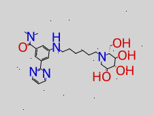 CN(C)C(=O)c1cc(NCCCCCCN2C[C@H](O)[C@@H](O)[C@H](O)[C@H]2CO)cc(-c2ncccn2)c1